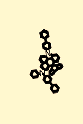 c1ccc(-c2ccc(N(c3ccccc3)c3cc4c5c(ccc6c5c5c(cccc5n6-c5ccc(-c6ccccc6)cc5)C45c4ccccc4-c4ccccc45)c3)cc2)cc1